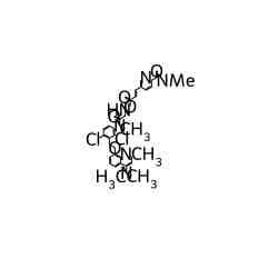 CNC(=O)c1ccc(C=CC(=O)ONCC(=O)N(C)c2ccc(Cl)c(COc3cccc4c(N(C)C)cc(C)nc34)c2Cl)cn1